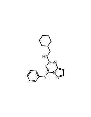 c1ccc(Nc2nc(NCC3CCCCC3)nc3ccnn23)cc1